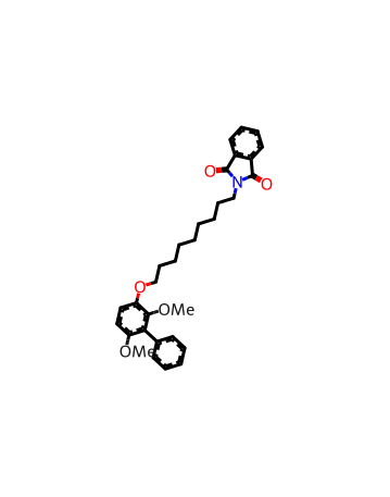 COc1ccc(OCCCCCCCCCN2C(=O)c3ccccc3C2=O)c(OC)c1-c1ccccc1